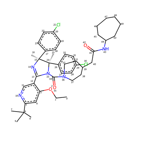 CCOc1cc(C(C)(C)C)ncc1C1=N[C@@](C)(c2ccc(Cl)cc2)[C@@](C)(c2ccc(Cl)cc2)N1C(=O)N1CCC(CC(=O)NC2CCCCCC2)CC1